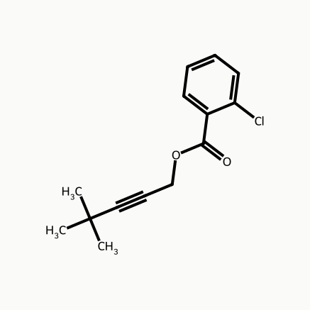 CC(C)(C)C#CCOC(=O)c1ccccc1Cl